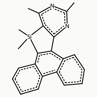 Cc1nc(C)c2c(n1)-c1c(c3ccccc3c3ccccc13)[Si]2(C)C